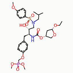 CCO[C@H]1C[C@@H](OC(=O)N[C@@H](Cc2ccc(OCP(=O)(OC)OC)cc2)[C@H](O)CN(CC(C)C)S(=O)(=O)c2ccc(OC)cc2)CO1